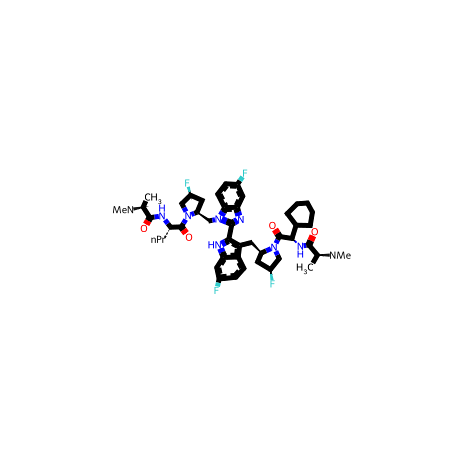 CCC[C@H](NC(=O)[C@H](C)NC)C(=O)N1C[C@@H](F)C[C@H]1Cn1c(-c2[nH]c3cc(F)ccc3c2C[C@@H]2C[C@H](F)CN2C(=O)[C@@H](NC(=O)[C@H](C)NC)C2CCCCC2)nc2cc(F)ccc21